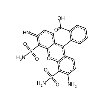 N=c1ccc2c(-c3ccccc3C(=O)O)c3ccc(N)c(S(N)(=O)=O)c3oc-2c1S(N)(=O)=O